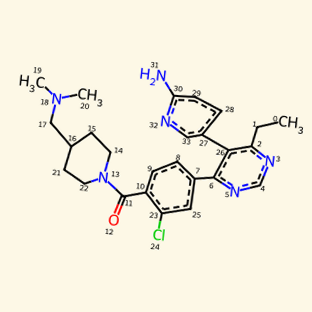 CCc1ncnc(-c2ccc(C(=O)N3CCC(CN(C)C)CC3)c(Cl)c2)c1-c1ccc(N)nc1